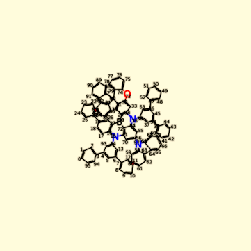 c1ccc(-c2cc(-c3ccccc3)cc(N3c4ccc(-c5ccccc5)cc4B4c5cc6c(cc5N(c5cc(-c7ccccc7)cc(-c7ccccc7)c5)c5cc(-n7c8ccccc8c8ccccc87)cc3c54)Oc3ccccc3C6(c3ccccc3)c3ccccc3)c2)cc1